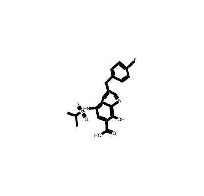 CC(C)S(=O)(=O)Nc1cc(C(=O)O)c(O)c2ncc(Cc3ccc(F)cc3)cc12